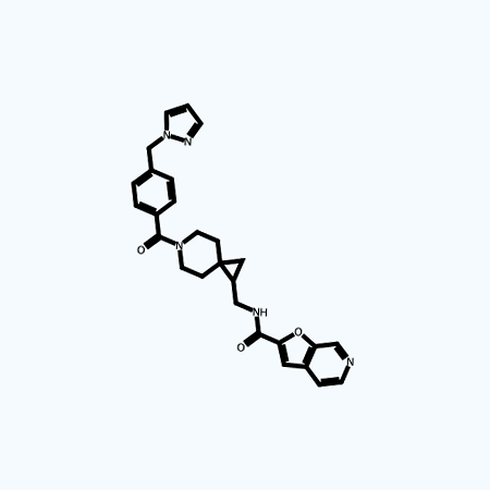 O=C(NCC1CC12CCN(C(=O)c1ccc(Cn3cccn3)cc1)CC2)c1cc2ccncc2o1